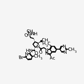 C#C[C@@H]1[C@@H](CCS(C)(=N)=O)C[C@@H](C(=O)Nc2nc(Br)ccc2C)N1C(=O)Cn1nc(C(C)=O)c2cc(-c3cnc(C)nc3)cc(C)c21